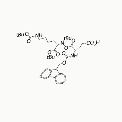 CC(C)(C)OC(=O)NCCCC[C@@H](C(=O)OC(C)(C)C)N(OC(=O)[C@H](CCC(=O)O)NC(=O)OCC1c2ccccc2-c2ccccc21)C(C)(C)C